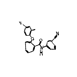 Cc1cc(F)ccc1Oc1ccccc1C(=O)Nc1cccc(C#N)c1